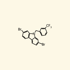 FC(F)(F)c1cccc(Cn2c3cc(Br)ccc3c3ccc(Br)cc32)c1